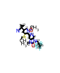 CCSc1cc(C2(C#N)CC2)c[n+](OC)c1-c1cc2c(cn1)n(CC(F)(F)C(F)(F)F)c(=O)n2C